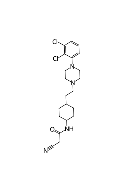 N#CCC(=O)NC1CCC(CCN2CCN(c3cccc(Cl)c3Cl)CC2)CC1